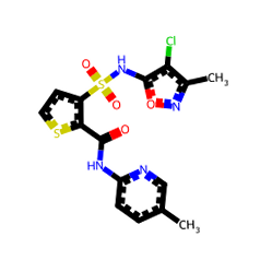 Cc1ccc(NC(=O)c2sccc2S(=O)(=O)Nc2onc(C)c2Cl)nc1